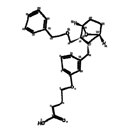 O=C(O)CCCOc1cccc(C[C@@H]2[C@H](COCc3ccccc3)[C@@H]3CC[C@H]2O3)c1